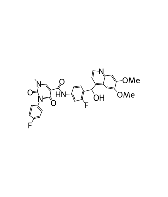 COc1cc2nccc(C(O)c3ccc(NC(=O)c4cn(C)c(=O)n(-c5ccc(F)cc5)c4=O)cc3F)c2cc1OC